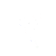 C=C(C(=O)OC)C1c2ccc(C)nc2Oc2nc(Cl)ccc21